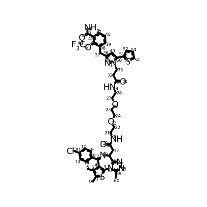 Cc1sc2c(c1C)C(c1ccc(Cl)cc1)=NC(CC(=O)NCCOCCOCCNC(=O)CCn1nc(Cc3cccc(C(N)=O)c3OC(F)(F)F)cc1-c1cccs1)c1nnc(C)n1-2